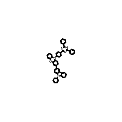 c1ccc(-c2nc(-c3ccccc3)nc(-c3ccc(N4c5ccccc5Oc5cc(-c6ccc7c(c6)c6ccccc6n7-c6ccccc6)ccc54)cc3)n2)cc1